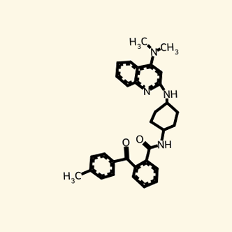 Cc1ccc(C(=O)c2ccccc2C(=O)NC2CCC(Nc3cc(N(C)C)c4ccccc4n3)CC2)cc1